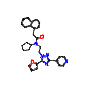 O=C(Cc1cccc2ccccc12)N(CCn1nc(-c2ccncc2)nc1-c1ccco1)C1CCCC1